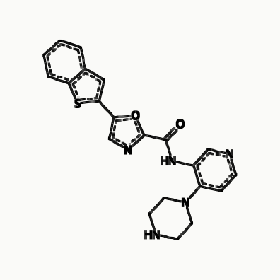 O=C(Nc1cnccc1N1CCNCC1)c1ncc(-c2cc3ccccc3s2)o1